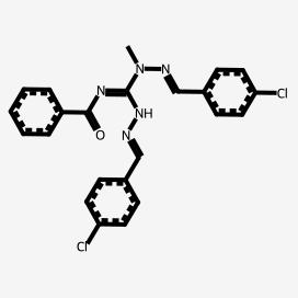 CN(N=Cc1ccc(Cl)cc1)C(=NC(=O)c1ccccc1)NN=Cc1ccc(Cl)cc1